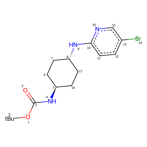 CC(C)(C)OC(=O)N[C@H]1CC[C@H](Nc2ccc(Br)cn2)CC1